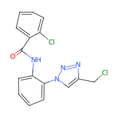 O=C(Nc1ccccc1-n1cc(CCl)nn1)c1ccccc1Cl